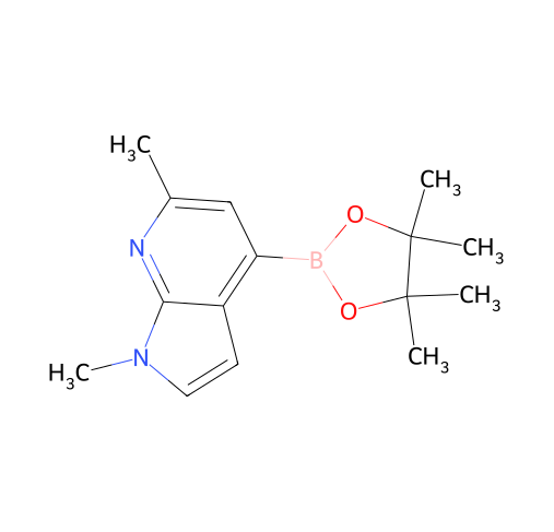 Cc1cc(B2OC(C)(C)C(C)(C)O2)c2ccn(C)c2n1